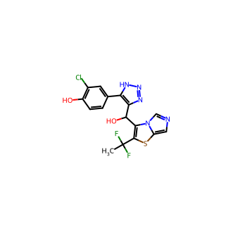 CC(F)(F)c1sc2cncn2c1C(O)c1nn[nH]c1-c1ccc(O)c(Cl)c1